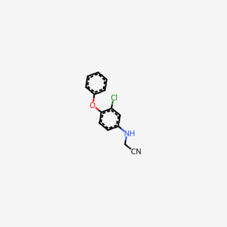 N#CCNc1ccc(Oc2ccccc2)c(Cl)c1